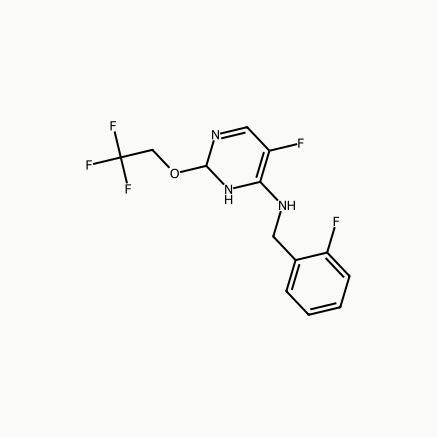 FC1=C(NCc2ccccc2F)NC(OCC(F)(F)F)N=C1